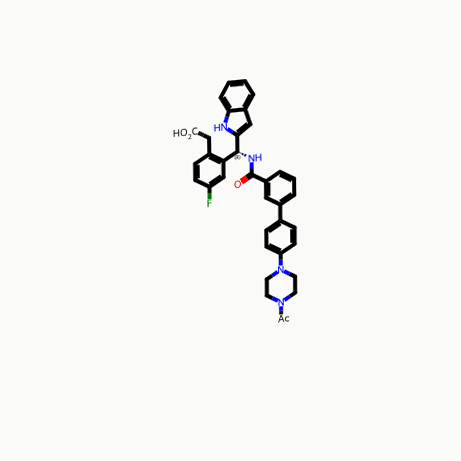 CC(=O)N1CCN(c2ccc(-c3cccc(C(=O)N[C@@H](c4cc5ccccc5[nH]4)c4cc(F)ccc4CC(=O)O)c3)cc2)CC1